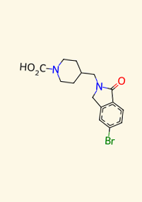 O=C(O)N1CCC(CN2Cc3cc(Br)ccc3C2=O)CC1